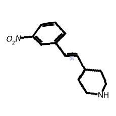 O=[N+]([O-])c1cccc(/C=C/C2CCNCC2)c1